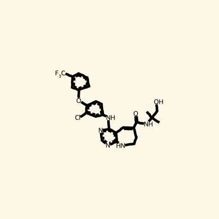 CC(C)(CO)NC(=O)C1=Cc2c(ncnc2Nc2ccc(Oc3cccc(C(F)(F)F)c3)c(Cl)c2)NCC1